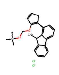 C[Si](C)(C)OCOC1=C(c2cccc3c2[CH]([Zr+2])c2ccccc2-3)CC=C1.[Cl-].[Cl-]